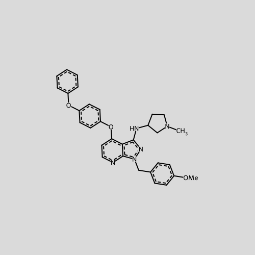 COc1ccc(Cn2nc(NC3CCN(C)C3)c3c(Oc4ccc(Oc5ccccc5)cc4)ccnc32)cc1